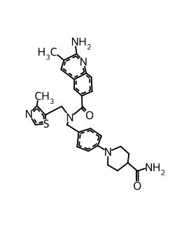 Cc1cc2cc(C(=O)N(Cc3ccc(N4CCC(C(N)=O)CC4)cc3)Cc3scnc3C)ccc2nc1N